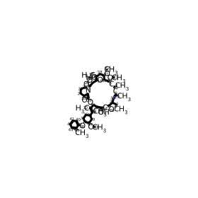 CCC1/C=C(\C)CC(C)CC(OC)C2OC(O)(C(=O)C(=O)N3CCCCC3C(=O)OC(C(C)=CC3CCC(Oc4ccccc4C)C(OC)C3)C(C)C(O)CC1=O)C(C)CC2OC